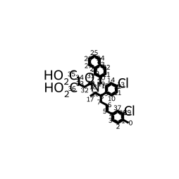 Cc1ccc(/C=C/CC(c2ccc(Cl)cc2)C(C)N(Cc2ccc3ccccc3c2)C(=O)CC(CC(=O)O)C(=O)O)cc1Cl